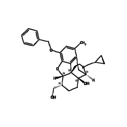 Cc1cc(OCc2ccccc2)c2c3c1C[C@H]1N(C4CC4)CC[C@@]34[C@@H](O2)[C@@H](CO)CC[C@@]14O